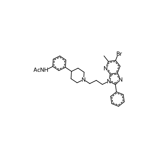 CC(=O)Nc1cccc(C2CCN(CCCn3c(-c4ccccc4)nc4cc(Br)c(C)nc43)CC2)c1